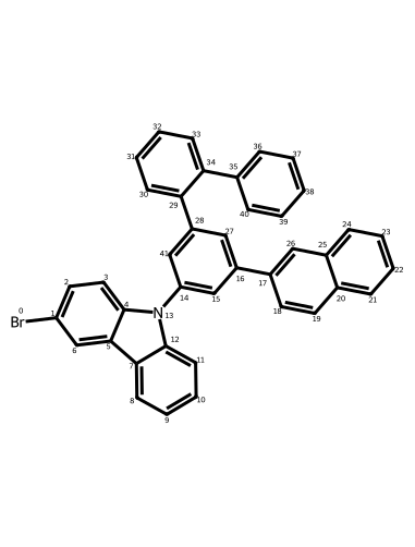 Brc1ccc2c(c1)c1ccccc1n2-c1cc(-c2ccc3ccccc3c2)cc(-c2ccccc2-c2ccccc2)c1